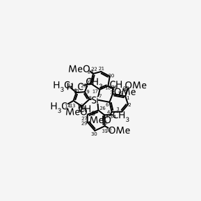 COc1ccc(OC)c([Si](C2=C(C)C(C)=C(C)C2C)(c2c(OC)ccc(OC)c2C)c2c(OC)ccc(OC)c2C)c1C